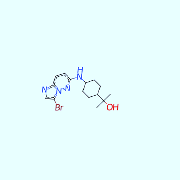 CC(C)(O)C1CCC(Nc2ccc3ncc(Br)n3n2)CC1